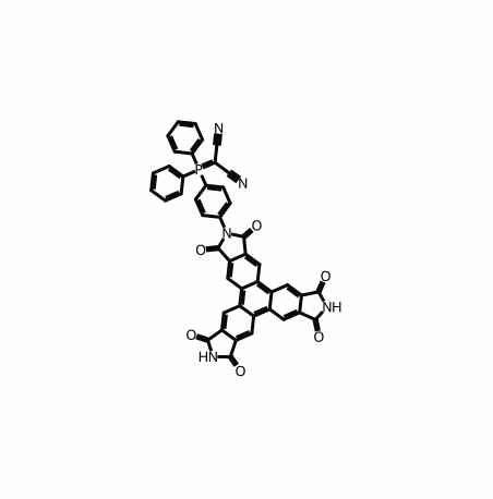 N#CC(C#N)=P(c1ccccc1)(c1ccccc1)c1ccc(-n2c(=O)c3cc4c5cc6c(=O)[nH]c(=O)c6cc5c5cc6c(=O)[nH]c(=O)c6cc5c4cc3c2=O)cc1